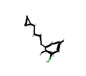 Cc1cc(F)c(C)c(CCCCC2CC2)c1